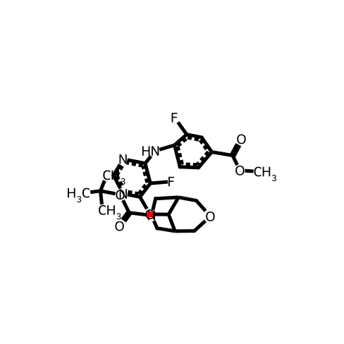 COC(=O)c1ccc(Nc2ncnc(OC3C4COCC3CN(C(=O)OC(C)(C)C)C4)c2F)c(F)c1